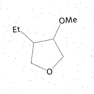 CCC1COCC1OC